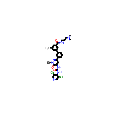 CCn1nc(-c2cccc(-c3cc(C(=O)NCCCN(C)C)cc(C(F)(F)F)c3)c2)cc(NC(=O)Nc2c(Cl)cncc2Cl)c1=O